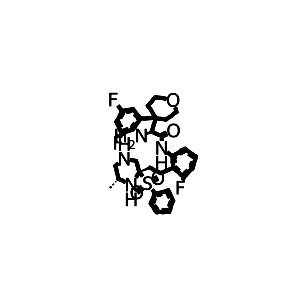 C[C@@H]1CNC[C@](CCc2c(F)cccc2NC(=O)[C@@H](N)C2(c3cc(F)cc(F)c3)CCOCC2)(S(=O)(=O)c2ccccc2)N1